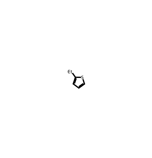 C[C]c1cccs1